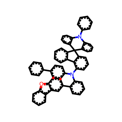 c1ccc(-c2ccc(N(c3ccccc3-c3ccc4oc5ccccc5c4c3)c3cccc4c3-c3ccccc3C43c4ccccc4N(c4ccccc4)c4ccccc43)cc2)cc1